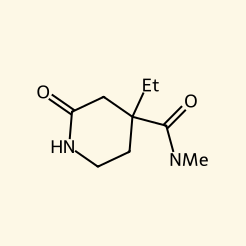 CCC1(C(=O)NC)CCNC(=O)C1